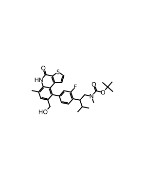 Cc1cc(CO)c(-c2ccc(C(CN(C)C(=O)OC(C)(C)C)C(C)C)c(F)c2)c2c1[nH]c(=O)c1sccc12